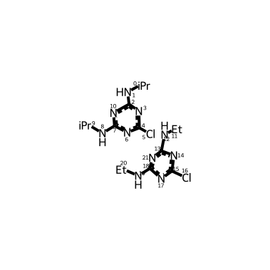 CC(C)Nc1nc(Cl)nc(NC(C)C)n1.CCNc1nc(Cl)nc(NCC)n1